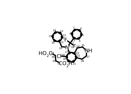 FC(F)(c1ccccc1)N(Cc1ccccc1)c1c(Cl)ccc2c1CCNCC2.O=C(O)CCC(=O)O